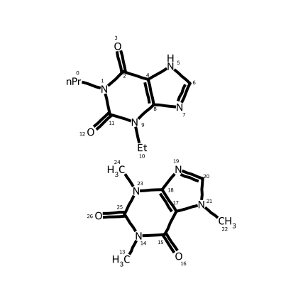 CCCn1c(=O)c2[nH]cnc2n(CC)c1=O.Cn1c(=O)c2c(ncn2C)n(C)c1=O